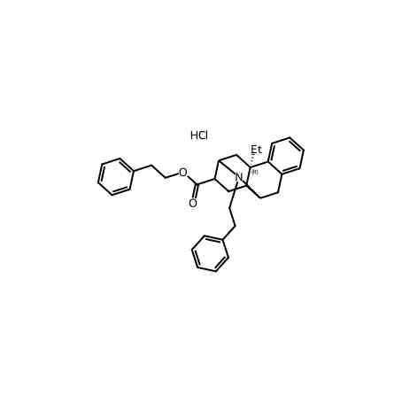 CC[C@@]12CC3C(C(=O)OCCc4ccccc4)CC1C(Cc1ccccc12)N3CCc1ccccc1.Cl